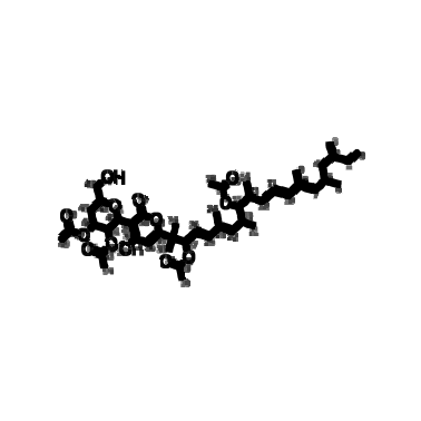 CCC(C)CC(C)/C=C(C)/C=C/CC(C)C(OC(C)=O)C(C)/C=C(C)/C=C/C(OC(C)=O)C(C)(C)c1cc(O)c(C2OC(CO)CC(OC(C)=O)C2OC(C)=O)c(=O)o1